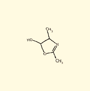 CC1=NC(C)C(O)O1